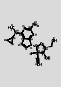 C#C[C@@]1(F)[C@H](O)[C@@H](CO)O[C@H]1n1cnc2c(N(C)C3CC3)nc(N)nc21